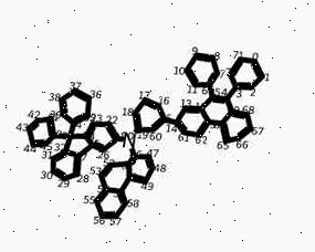 c1ccc(-c2c(-c3ccccc3)c3cc(-c4cccc(N(c5ccc6c(c5)-c5ccccc5C6(c5ccccc5)c5ccccc5)c5cccc6c5ccc5ccccc56)c4)ccc3c3ccccc23)cc1